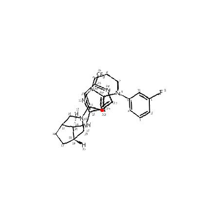 Fc1cccc(N2CCCn3nc(N[C@@H]4C5CC[C@H]4CN(c4ccnc(C(F)(F)F)c4)C5)nc32)c1